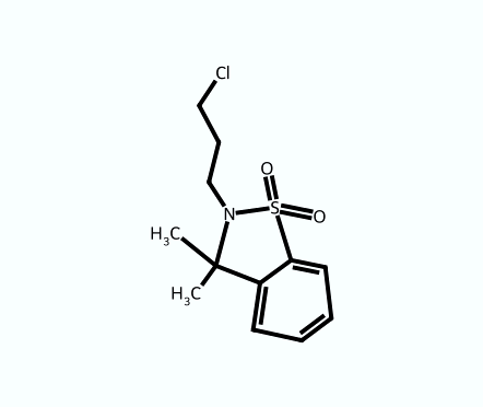 CC1(C)c2ccccc2S(=O)(=O)N1CCCCl